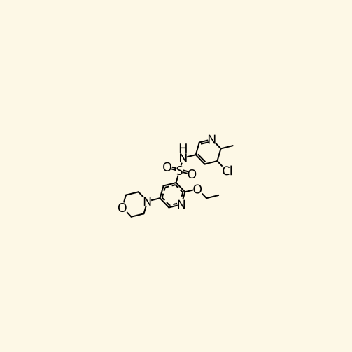 CCOc1ncc(N2CCOCC2)cc1S(=O)(=O)NC1=CC(Cl)C(C)N=C1